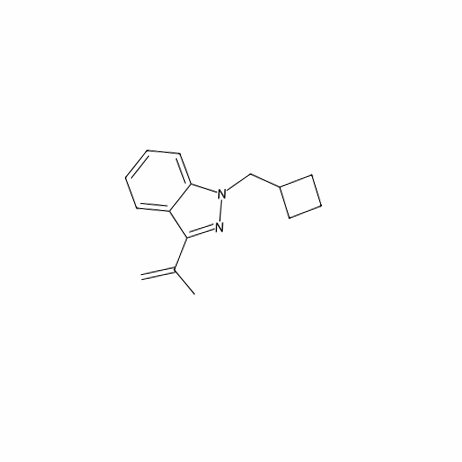 C=C(C)c1nn(CC2CCC2)c2ccccc12